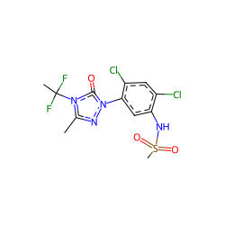 Cc1nn(-c2cc(NS(C)(=O)=O)c(Cl)cc2Cl)c(=O)n1C(C)(F)F